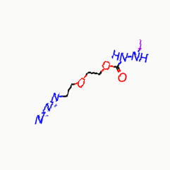 [N-]=[N+]=NCCOCCOC(=O)NNI